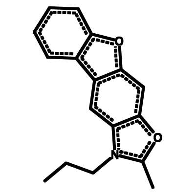 CCC[n+]1c(C)oc2cc3oc4ccccc4c3cc21